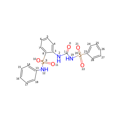 O=C(Nc1ccccc1S(=O)(=O)Nc1ccccc1)NS(=O)(=O)c1ccccc1